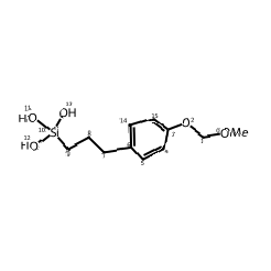 COCOc1ccc(CCC[Si](O)(O)O)cc1